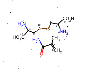 C=C(C)C(N)=O.NC(CSSCC(N)C(=O)O)C(=O)O